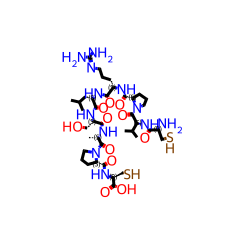 CC(C)C[C@H](NC(=O)[C@H](CCCN=C(N)N)NC(=O)[C@@H]1CCCN1C(=O)[C@@H](NC(=O)[C@@H](N)CS)C(C)C)C(=O)N[C@@H](CO)C(=O)N[C@@H](C)C(=O)N1CCC[C@H]1C(=O)N[C@@H](CS)C(=O)O